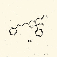 C=CCN(COCCOc1ccccc1)C(C)(C)c1ccccc1.Cl